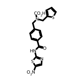 O=C(Nc1ncc([N+](=O)[O-])s1)c1ccc(CN(Cc2cccs2)C(=O)O)cc1